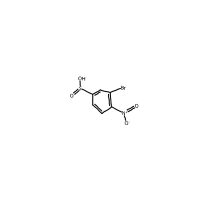 O=[N+]([O-])c1ccc(S(=O)O)cc1Br